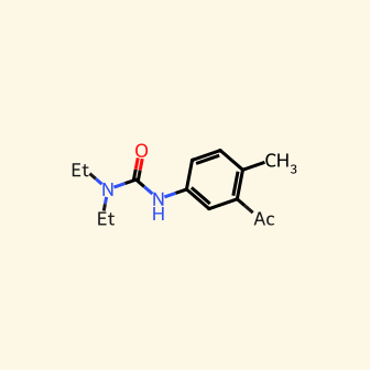 CCN(CC)C(=O)Nc1ccc(C)c(C(C)=O)c1